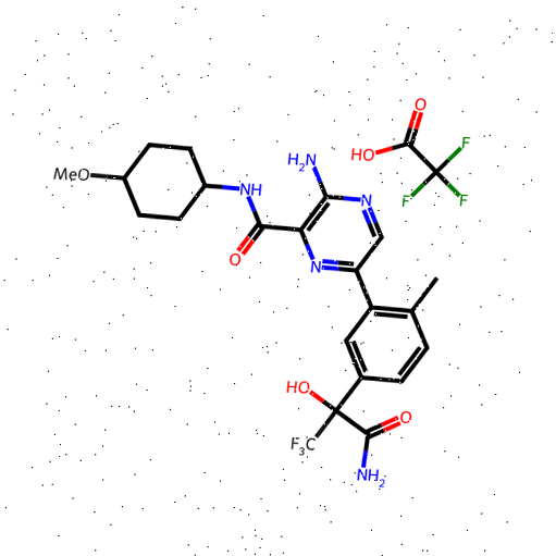 COC1CCC(NC(=O)c2nc(-c3cc(C(O)(C(N)=O)C(F)(F)F)ccc3C)cnc2N)CC1.O=C(O)C(F)(F)F